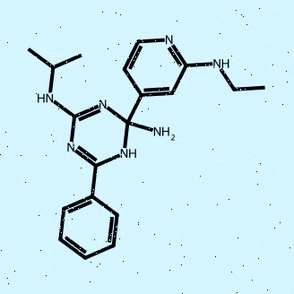 CCNc1cc(C2(N)N=C(NC(C)C)N=C(c3ccccc3)N2)ccn1